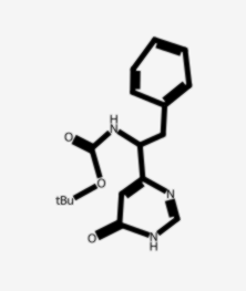 CC(C)(C)OC(=O)NC(Cc1ccccc1)c1cc(=O)[nH]cn1